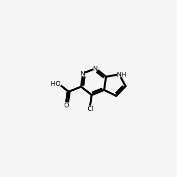 O=C(O)c1nnc2[nH]ccc2c1Cl